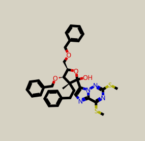 CSc1nc(SC)c2ncc(C3(O)O[C@H](COCc4ccccc4)[C@@H](OCc4ccccc4)[C@@]3(C)CCc3ccccc3)n2n1